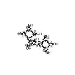 O=C(O)CN1CCN(CC(=O)O)CCN(CC(O)CN(CCN(CC(=O)O)CC(O)CN2CCN(CC(=O)O)CCN(CC(=O)O)CCN(CC(=O)O)CC2)CC(=O)O)CCN(CC(=O)O)CC1